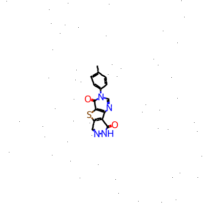 Cc1ccc(-n2cnc3c(sc4cn[nH]c(=O)c43)c2=O)cc1